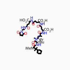 CN[C@H](C(=O)N[C@H](C(=O)N(C)[C@H](/C=C(\C)C(=O)N[C@H](CCC(=O)N[C@H](CCC(=O)N[C@H](CCC(=O)NCCN1C(=O)C=CC1=O)C(=O)O)C(=O)O)C(=O)O)C(C)C)C(C)(C)C)C(C)(C)c1ccccc1